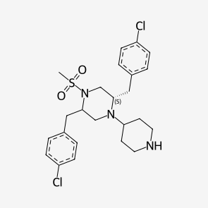 CS(=O)(=O)N1C[C@H](Cc2ccc(Cl)cc2)N(C2CCNCC2)CC1Cc1ccc(Cl)cc1